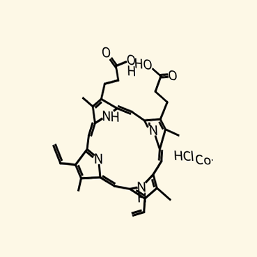 C=CC1=C(C)c2cc3[nH]c(cc4nc(cc5[nH]c(cc1n2)c(C)c5CCC(=O)O)C(CCC(=O)O)=C4C)c(C)c3C=C.Cl.[Co]